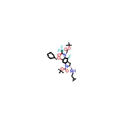 CC(C)(C)OC(=O)CN(C(=O)C(F)(F)F)c1c(OCc2ccccc2)cc2c(c1F)C[C@H](CNCCC1CC1)N2C(=O)OC(C)(C)C